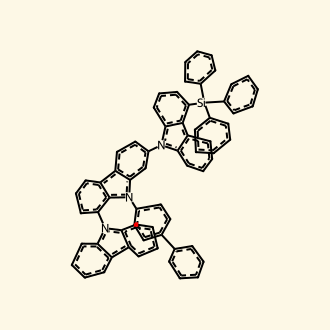 c1ccc(-c2ccc(-n3c4cc(-n5c6ccccc6c6c([Si](c7ccccc7)(c7ccccc7)c7ccccc7)cccc65)ccc4c4cccc(-n5c6ccccc6c6ccccc65)c43)cc2)cc1